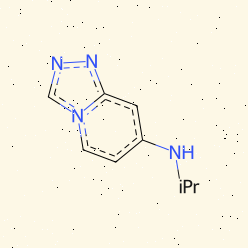 CC(C)Nc1ccn2cnnc2c1